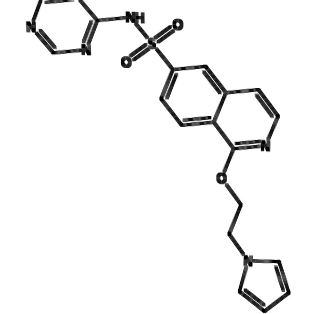 O=S(=O)(Nc1ccncn1)c1ccc2c(OCCn3cccc3)nccc2c1